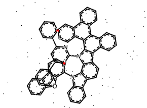 c1ccc(-c2cc(-c3ccccc3)nc(-n3c4c(c5ccccc5c5c6ccccc6c6ccccc6c54)c4ccc5c6ccccc6n(-c6cccc7c6oc6ccccc67)c5c43)n2)cc1